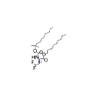 CCCCCCCCCOC(=O)/C(=C/C(F)F)NC(=O)OC(C)(C)CCCCCCCC